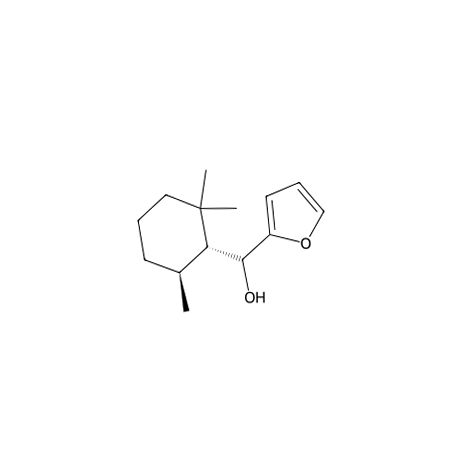 C[C@H]1CCCC(C)(C)[C@@H]1C(O)c1ccco1